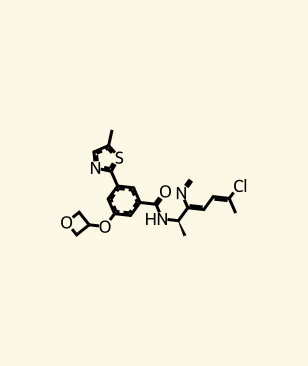 C=N/C(=C\C=C(/C)Cl)[C@@H](C)NC(=O)c1cc(OC2COC2)cc(-c2ncc(C)s2)c1